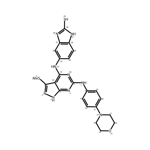 CSc1n[nH]c2nc(Nc3ccc(N4CCOCC4)cc3)nc(Nc3ccc4[nH]c(S)nc4c3)c12